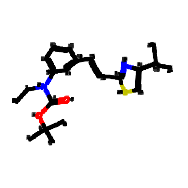 CCN(C(=O)OC(C)(C)C)c1cccc(C=Cc2nc(C(C)C)cs2)c1